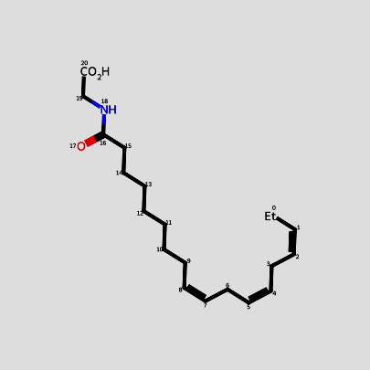 CC/C=C\C/C=C\C/C=C\CCCCCCCC(=O)NCC(=O)O